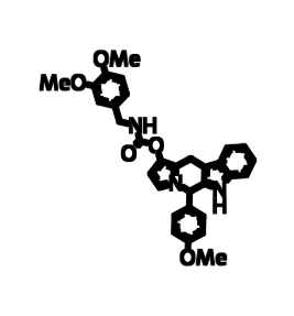 COc1ccc(C2c3[nH]c4ccccc4c3Cc3c(OC(=O)NCc4ccc(OC)c(OC)c4)ccn32)cc1